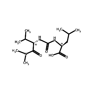 CC(C)C[C@H](NC(=O)N[C@H](C(=O)N(C)C)C(C)C)C(=O)O